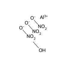 CO.O=[N+]([O-])[O-].O=[N+]([O-])[O-].O=[N+]([O-])[O-].[Al+3]